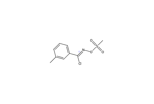 Cc1cccc(/C(Cl)=N/OS(C)(=O)=O)c1